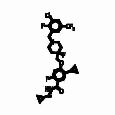 O=C(NSC1CC1)c1cc(C2CC2)c(OCC2(F)CCN(Cc3cc(C(F)(F)F)cc(Cl)c3F)CC2)cc1F